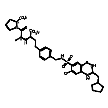 C[C@H](NC(CCc1ccc(CNS(=O)(=O)c2cc3c(cc2Cl)NC(CC2CCCC2)NS3)cc1)C(=O)O)C(=O)N1CCC[C@H]1C(=O)O